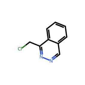 ClCc1nncc2ccccc12